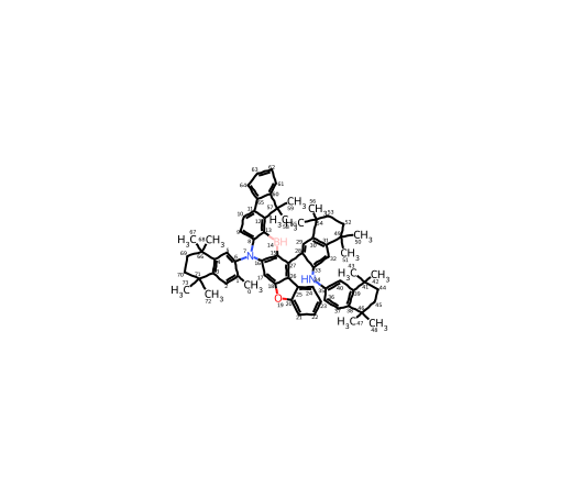 Cc1cc2c(cc1N1c3ccc4c(c3Bc3c1cc1oc5ccccc5c1c3-c1cc3c(cc1Nc1ccc5c(c1)C(C)(C)CCC5(C)C)C(C)(C)CCC3(C)C)C(C)(C)c1ccccc1-4)C(C)(C)CCC2(C)C